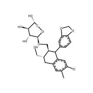 Cc1cc2c(cc1Cl)C(c1ccc3c(c1)OCO3)[C@H](CO[C@@H]1OC[C@@H](O)[C@H](O)[C@H]1O)[C@@H](CO)C2